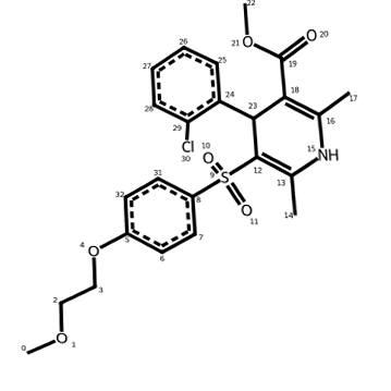 COCCOc1ccc(S(=O)(=O)C2=C(C)NC(C)=C(C(=O)OC)C2c2ccccc2Cl)cc1